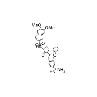 COc1cc2ccc(S(=O)(=O)NC3CCN(C(Cc4ccc(C(=N)N)cc4)C(=O)N4CCCC4)C3=O)cc2cc1OC